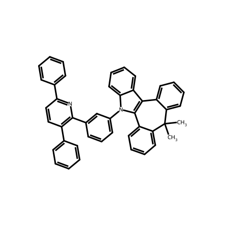 CC1(C)c2ccccc2-c2c(n(-c3cccc(-c4nc(-c5ccccc5)ccc4-c4ccccc4)c3)c3ccccc23)-c2ccccc21